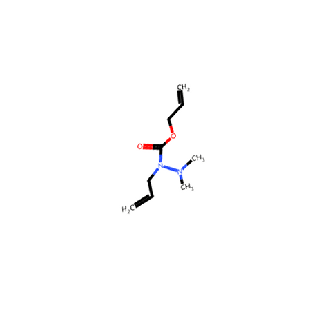 C=CCOC(=O)N(CC=C)N(C)C